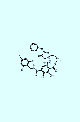 C[C@H]1CC[C@]2(CC(=O)N([C@@H](C)c3ccccc3)O2)[C@H]2CN1C(=O)c1c(O)c(=O)c(C(=O)NCc3c(F)cc(F)cc3F)cn12